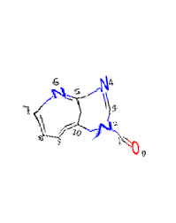 O=Cn1cnc2ncccc21